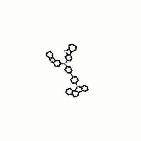 c1ccc2c(c1)ccc1c3ccccc3n(-c3ccc(-c4ccc(N(c5ccc6c(c5)oc5ccccc56)c5ccc6sc7ccccc7c6c5)cc4)cc3)c21